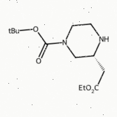 CCOC(=O)C[C@@H]1CN(C(=O)OC(C)(C)C)CCN1